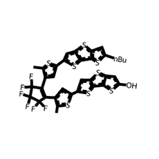 CCCCc1cc2sc3cc(-c4cc(C5=C(c6cc(-c7cc8sc9cc(O)sc9c8s7)sc6C)C(F)(F)C(F)(F)C5(F)F)c(C)s4)sc3c2s1